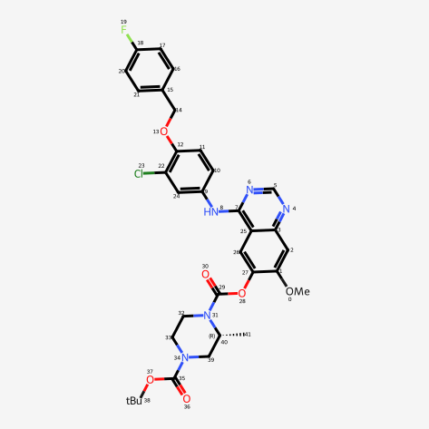 COc1cc2ncnc(Nc3ccc(OCc4ccc(F)cc4)c(Cl)c3)c2cc1OC(=O)N1CCN(C(=O)OC(C)(C)C)C[C@H]1C